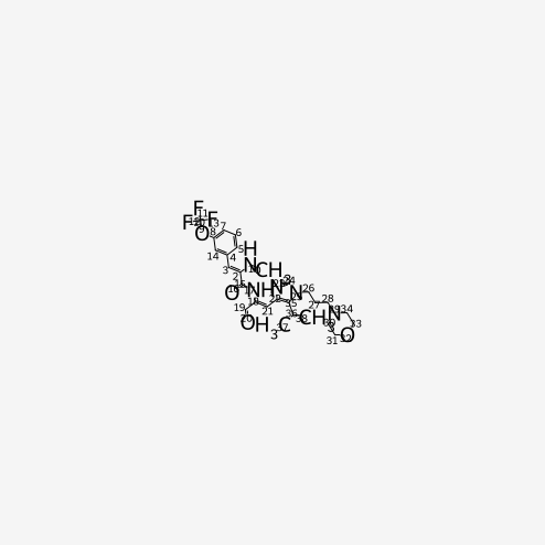 CN/C(=C\c1cccc(OC(F)(F)F)c1)C(=O)N/C(C=O)=C\c1ncn(CCCN2CCOCC2)c1C(C)C